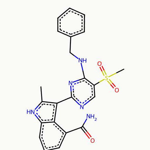 Cc1[nH]c2cccc(C(N)=O)c2c1-c1ncc(S(C)(=O)=O)c(NCc2ccccc2)n1